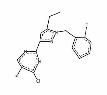 CCc1cc(-c2ncc(F)c(Cl)n2)nn1Cc1ccccc1F